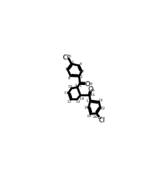 O=C(c1ccc(Cl)cc1)C1CC=CCC1C(=O)c1ccc(Cl)cc1